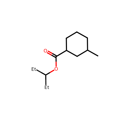 CCC(CC)OC(=O)C1CCCC(C)C1